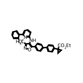 CCOC(=O)C1(c2ccc(-c3ccc(-c4onc(C)c4Nc4cccc(-c5ccccc5Cl)n4)cc3)cc2)CC1